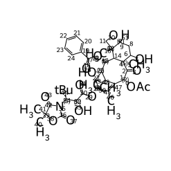 CC(=O)O[C@H]1C(=O)[C@]2(C)C(O)C[C@H]3OC[C@@]3(C)C2[C@H](OC(=O)c2ccccc2)[C@]2(O)C[C@@H](OC(=O)[C@H](O)[C@@H](N3C(=O)OC(C)(C)C3=O)C(C)(C)C)C(C)=C1C2(C)C